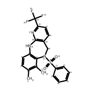 Cc1ccc2c(c1C)N(S(=O)(=O)c1ccccc1)Cc1ccc(C(F)(F)F)nc1N2